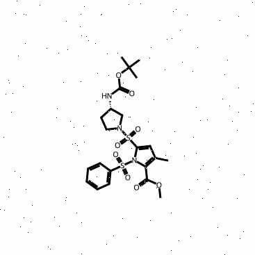 COC(=O)c1c(C)cc(S(=O)(=O)N2CC[C@H](NC(=O)OC(C)(C)C)C2)n1S(=O)(=O)c1ccccc1